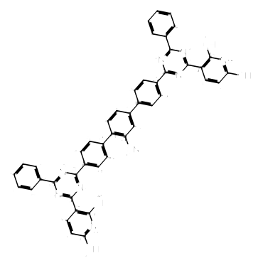 Cc1ccc(-c2nc(-c3ccccc3)nc(-c3ccc(-c4ccc(-c5ccc(-c6nc(-c7ccccc7)nc(-c7ccc(C)nc7C)n6)cc5)c(C#N)c4)cc3)n2)c(C)n1